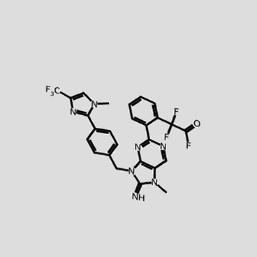 Cn1cc(C(F)(F)F)nc1-c1ccc(Cn2c(=N)n(C)c3cnc(-c4ccccc4C(F)(F)C(=O)F)nc32)cc1